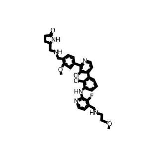 COCCNCc1ccnc(Nc2cccc(-c3ccnc(-c4ccc(CNCC5CCC(=O)N5)c(OC)c4)c3Cl)c2Cl)c1F